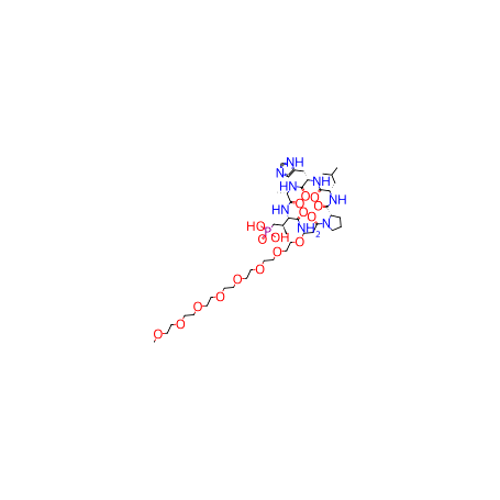 COCCOCCOCCOCCOCCOCCOCCOCCC(=O)N1CCC[C@H]1C(=O)N[C@@H](CC(C)C)C(=O)N[C@@H](Cc1cnc[nH]1)C(=O)N[C@@H](C)C(=O)N[C@H](C(N)=O)[C@@H](C)CP(=O)(O)O